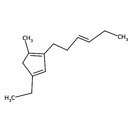 CCC=CCCC1=C(C)CC(CC)=C1